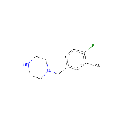 N#Cc1cc(CN2CCNCC2)ccc1F